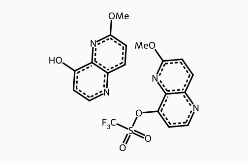 COc1ccc2nccc(O)c2n1.COc1ccc2nccc(OS(=O)(=O)C(F)(F)F)c2n1